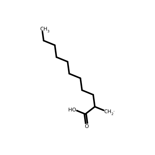 [CH2]C(CCCCCCCCC)C(=O)O